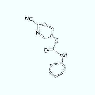 N#Cc1ccc(OC(=O)Nc2ccccc2)cn1